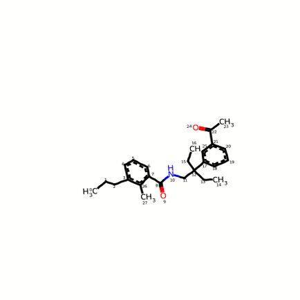 CCCc1cccc(C(=O)NCC(CC)(CC)c2cccc(C(C)=O)c2)c1C